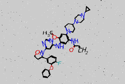 C=CC(=O)Nc1cc(Nc2cc(N3OCCC3c3ccc(F)c(Oc4ccccc4)c3)ncn2)c(OC)cc1N1CCC(N2CCN(C3CC3)CC2)CC1